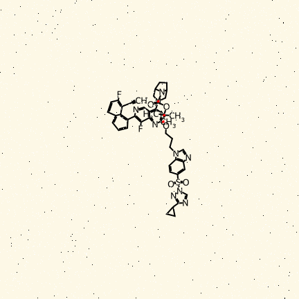 C#Cc1c(F)ccc2cccc(-c3ncc4c(N5CC6CCC(C5)N6C(=O)OC(C)(C)C)nc(OCCCn5cnc6cc(S(=O)(=O)n7cnc(C8CC8)n7)ccc65)nc4c3F)c12